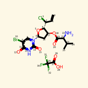 C=CC(Cl)[C@H]1O[C@@H](n2cc(Br)c(=O)[nH]c2=O)C[C@@H]1OC(=O)[C@@H](N)C(C)C.O=C(O)C(F)(F)F